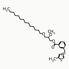 CCCCCCCCCCCCCCOCC(COC(=O)c1cccc(C[n+]2csc(C)c2)c1)OC